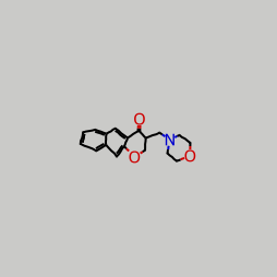 O=C1c2cc3ccccc3cc2OCC1CN1CCOCC1